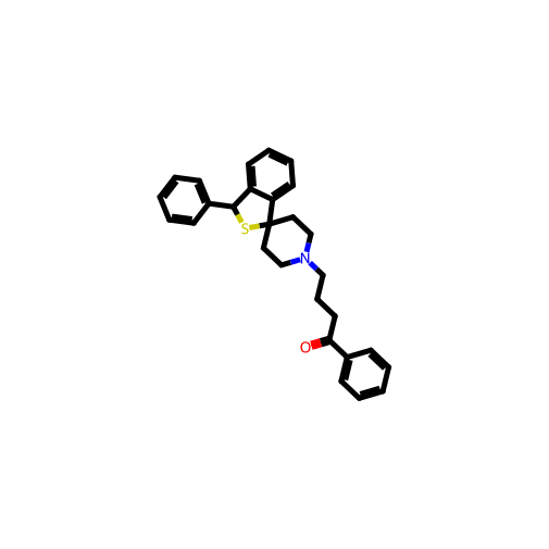 O=C(CCCN1CCC2(CC1)SC(c1ccccc1)c1ccccc12)c1ccccc1